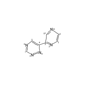 c1cnc(-c2cncnn2)cn1